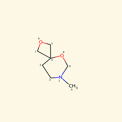 CN1CCC2(COC2)OC1